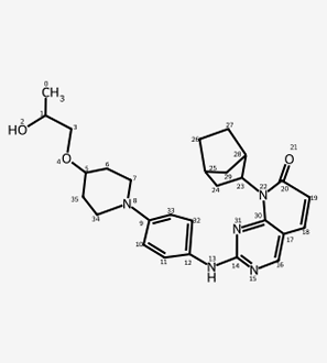 CC(O)COC1CCN(c2ccc(Nc3ncc4ccc(=O)n(C5CC6CCC5C6)c4n3)cc2)CC1